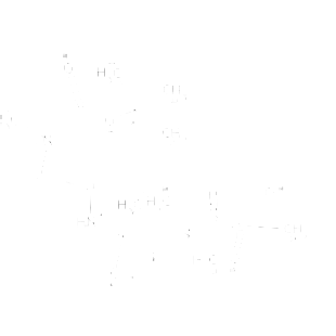 CN(CCNC(C)(C)CC(C)(C)NS(C)(=O)=O)C(=O)OC(C)(C)C